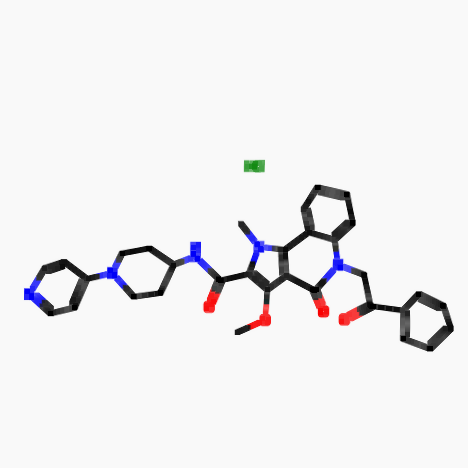 COc1c(C(=O)NC2CCN(c3ccncc3)CC2)n(C)c2c1c(=O)n(CC(=O)c1ccccc1)c1ccccc21.Cl